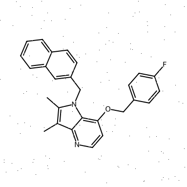 Cc1c(C)n(Cc2ccc3ccccc3c2)c2c(OCc3ccc(F)cc3)ccnc12